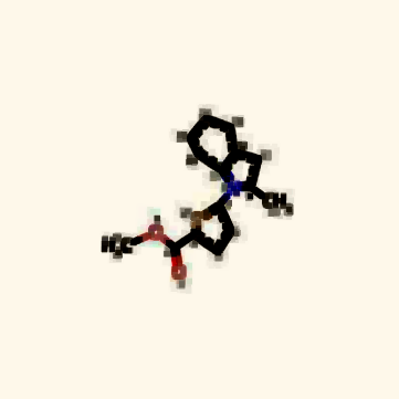 COC(=O)c1ccc(-n2c(C)cc3ccccc32)s1